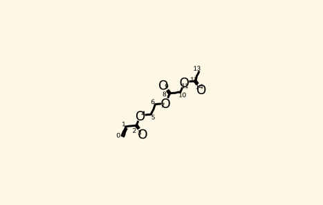 C=CC(=O)OCCOC(=O)COC(C)=O